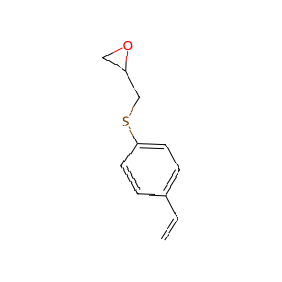 C=Cc1ccc(SCC2CO2)cc1